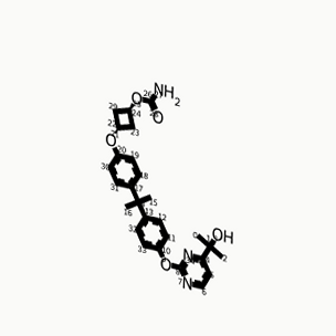 CC(C)(O)c1ccnc(Oc2ccc(C(C)(C)c3ccc(O[C@H]4C[C@H](OC(N)=O)C4)cc3)cc2)n1